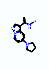 C=C(NC(C)C)c1cnn2ccc(N3CCCC3)cc12